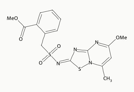 COC(=O)c1ccccc1CS(=O)(=O)N=c1nc2nc(OC)cc(C)n2s1